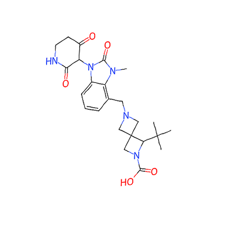 Cn1c(=O)n(C2C(=O)CCNC2=O)c2cccc(CN3CC4(C3)CN(C(=O)O)C4C(C)(C)C)c21